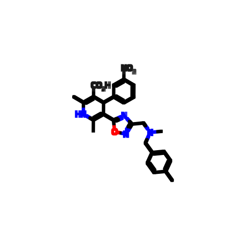 CC1=C(C(=O)O)C(c2cccc([N+](=O)[O-])c2)C(c2nc(CN(C)Cc3ccc(C)cc3)no2)=C(C)N1